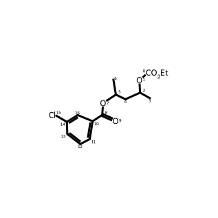 CCOC(=O)OC(C)CC(C)OC(=O)c1cccc(Cl)c1